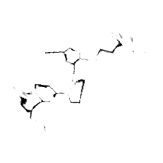 C[C@@H](N)CCOc1ncc(F)cc1N1CCCN1c1ccn2ncc(C(=O)O)c2n1